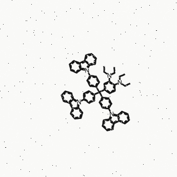 CCN(CC)c1ccc(C(c2ccc(-n3c4ccccc4c4ccccc43)cc2)(c2ccc(-n3c4ccccc4c4ccccc43)cc2)c2ccc(-n3c4ccccc4c4ccccc43)cc2)cc1N(CC)CC